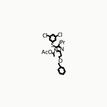 CC(=O)OC(C)n1c(CCOCc2ccccc2)nc(C(C)C)c1Sc1cc(Cl)cc(Cl)c1